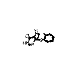 Cc1ccccc1Sc1c[nH]c2c(=O)[nH]cnc12